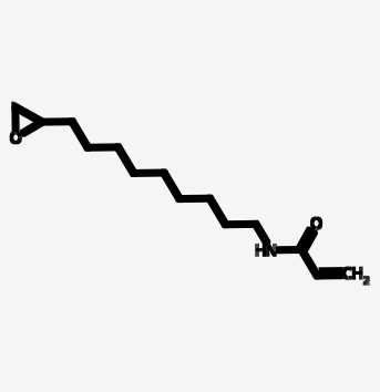 C=CC(=O)NCCCCCCCCCC1CO1